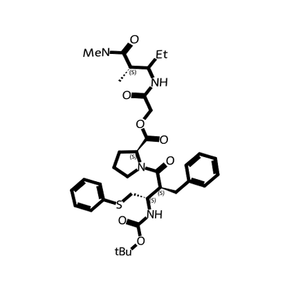 CCC(NC(=O)COC(=O)[C@@H]1CCCN1C(=O)[C@@H](Cc1ccccc1)[C@@H](CSc1ccccc1)NC(=O)OC(C)(C)C)[C@H](C)C(=O)NC